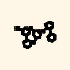 Sc1cccc(-c2ccccc2)c1.Sc1cccc(S)c1.Sc1ccccc1-c1ccccc1